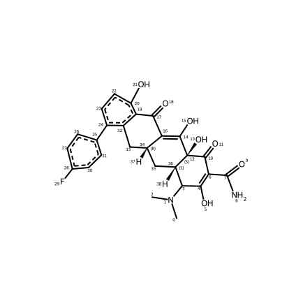 CN(C)C1C(O)=C(C(N)=O)C(=O)[C@@]2(O)C(O)=C3C(=O)c4c(O)ccc(-c5ccc(F)cc5)c4C[C@H]3C[C@@H]12